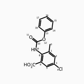 Cc1cc(Cl)cc(C(=O)O)c1NC(=O)Oc1ccccc1